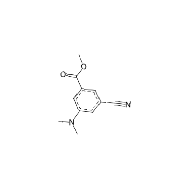 COC(=O)c1cc(C#N)cc(N(C)C)c1